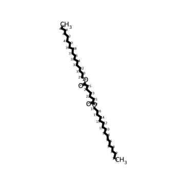 CCCCCCCCCCCCCCCCCCOC(=O)CCCCCC(=O)OCCCCCCCCCCCCCCCCCC